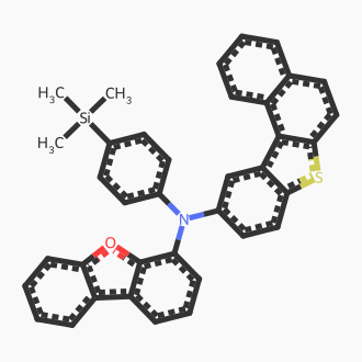 C[Si](C)(C)c1ccc(N(c2ccc3sc4ccc5ccccc5c4c3c2)c2cccc3c2oc2ccccc23)cc1